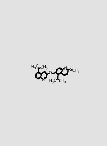 COc1ccc2c(C(C)C)c(COc3cnc4cccc(C(C)C)c4c3)ccc2n1